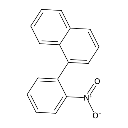 O=[N+]([O-])c1ccccc1-c1cccc2ccccc12